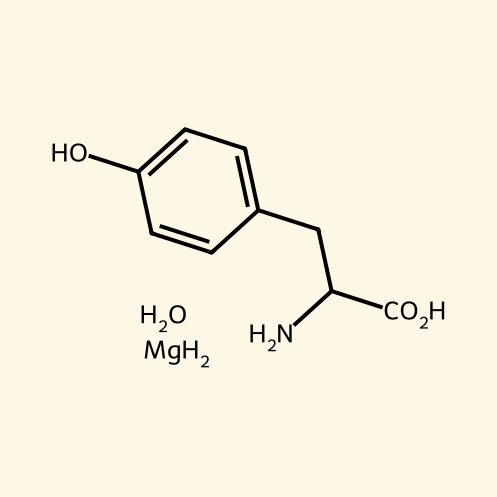 NC(Cc1ccc(O)cc1)C(=O)O.O.[MgH2]